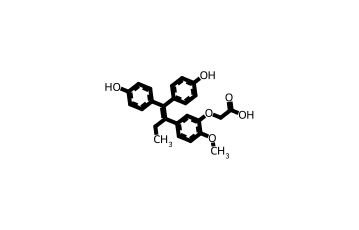 CCC(=C(c1ccc(O)cc1)c1ccc(O)cc1)c1ccc(OC)c(OCC(=O)O)c1